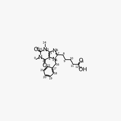 Cn1c(=O)c2c(nc(CCCCC(=O)O)n2Cc2ccccc2)n(C)c1=O